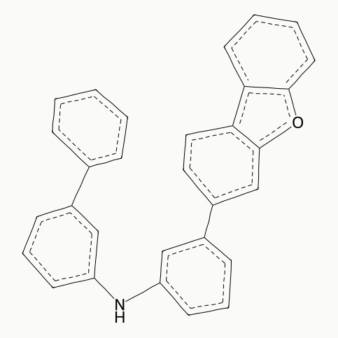 c1ccc(-c2cccc(Nc3cccc(-c4ccc5c(c4)oc4ccccc45)c3)c2)cc1